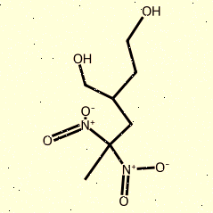 CC(CC(CO)CCO)([N+](=O)[O-])[N+](=O)[O-]